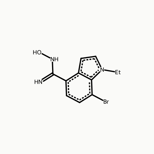 CCn1ccc2c(C(=N)NO)ccc(Br)c21